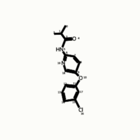 CC(C)C(=O)Nc1ccc(Oc2cccc(Cl)c2)cn1